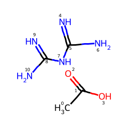 CC(=O)O.N=C(N)NC(=N)N